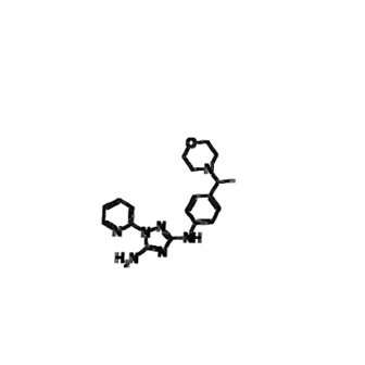 CC(c1ccc(Nc2nc(N)n(-c3ccccn3)n2)cc1)N1CCOCC1